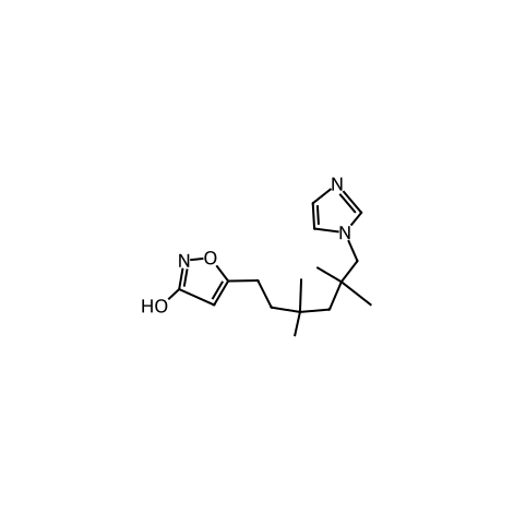 CC(C)(CCc1cc(O)no1)CC(C)(C)Cn1ccnc1